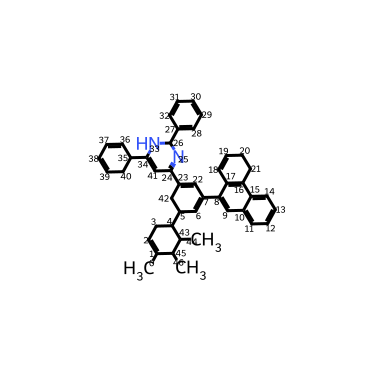 CC1=CCC(C2C=C(c3cc4ccccc4c4c3C=CCC4)C=C(C3=NC(c4ccccc4)NC(C4C=CC=CC4)=C3)C2)C(C)C1C